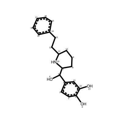 Oc1ccc(C(O)C2CCCC(CCc3ccccc3)N2)cc1O